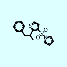 CC(Cc1ccccc1)c1sccc1S(=O)(=O)n1cccc1